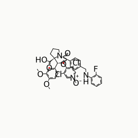 COc1ccc([C@H](Cc2c(Cl)c[n+]([O-])cc2Cl)[C@]2(C(=O)O)CCCN2S(=O)(=O)c2ccc(CNc3ccccc3F)cc2)cc1OC